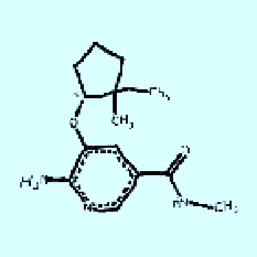 CNC(=O)c1cnc(N)c(O[C@H]2CCCC2(C)C)c1